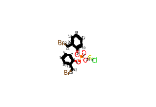 O=P(OSCl)(Oc1ccccc1CBr)Oc1ccccc1CBr